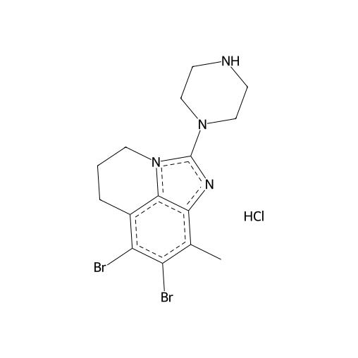 Cc1c(Br)c(Br)c2c3c1nc(N1CCNCC1)n3CCC2.Cl